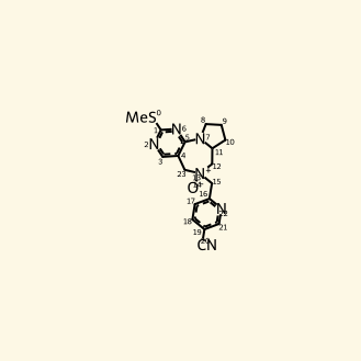 CSc1ncc2c(n1)N1CCCC1C[N+]([O-])(Cc1ccc(C#N)cn1)C2